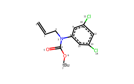 C=CCN(C(=O)OC(C)(C)C)c1cc(Cl)cc(Cl)c1